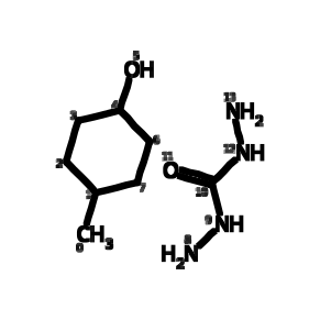 CC1CCC(O)CC1.NNC(=O)NN